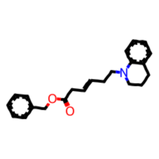 O=C(CC=CCCN1CCCc2ccccc21)OCc1ccccc1